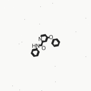 O=C(Nc1ccccc1)c1cc(Oc2ccccc2)ccn1